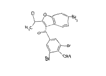 Bc1ccc2c(C(=O)c3cc(Br)c(O)c(Br)c3)c(C(C)Cl)oc2c1